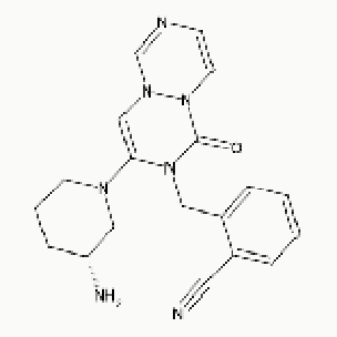 N#Cc1ccccc1CN1C(=O)N2C=CN=CN2C=C1N1CCC[C@@H](N)C1